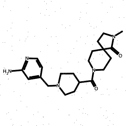 CN1CCC2(CCN(C(=O)C3CCN(Cc4ccnc(N)c4)CC3)CC2)C1=O